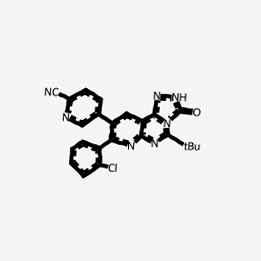 CC(C)(C)c1nc2nc(-c3ccccc3Cl)c(-c3ccc(C#N)nc3)cc2c2n[nH]c(=O)n12